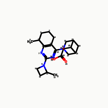 CC1CCCc2c1nc(N1CCC1C)nc2N1CC2CC(C1)C2CC(=O)O